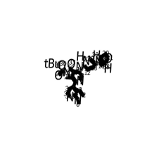 Cn1ccc2c(-c3ncc(Nc4ccc(N5C[C@@H]6C[C@H]5CO6)cn4)c4c3CN(C(=O)OC(C)(C)C)C4=O)ccnc21